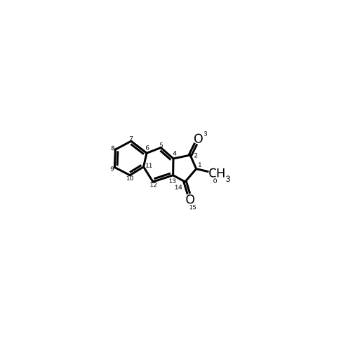 CC1C(=O)c2cc3ccccc3cc2C1=O